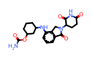 NC(=O)OC1CCCC(Nc2cccc3c2CN(C2CCC(=O)NC2=O)C3=O)C1